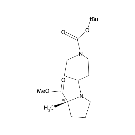 COC(=O)[C@@]1(C)CCCN1C1CCN(C(=O)OC(C)(C)C)CC1